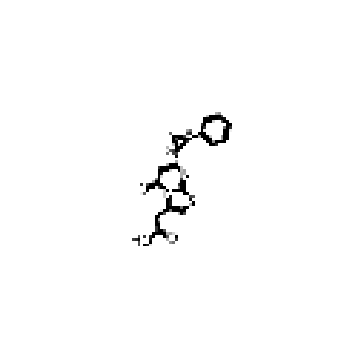 O=C(O)Cc1csc2nc([C@@H]3C[C@H]3c3ccccc3)cc(=O)n12